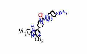 Cc1nc2c(C)ncc(C3CCN(C(=O)NCc4ccc(N)cc4)CC3)c2[nH]1